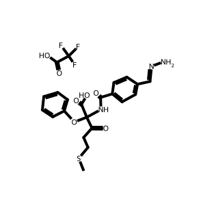 CSCCC(=O)C(NC(=O)c1ccc(C=NN)cc1)(Oc1ccccc1)C(=O)O.O=C(O)C(F)(F)F